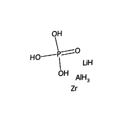 O=P(O)(O)O.[AlH3].[LiH].[Zr]